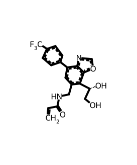 C=CC(=O)NCc1cc(-c2ccc(C(F)(F)F)cc2)c2ncoc2c1[C@H](O)CO